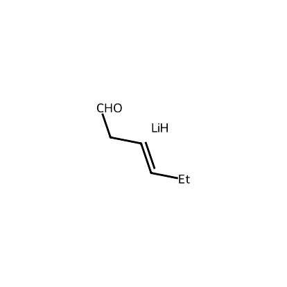 CCC=CCC=O.[LiH]